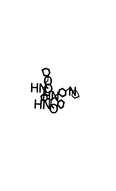 O=C(COc1ccccc1)Nc1ccc2c(c1)C(=C(Nc1ccc(CN3CCCCC3)cc1)c1ccccc1)C(=O)N2